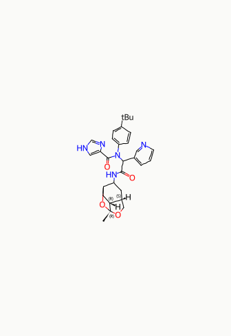 CC(C)(C)c1ccc(N(C(=O)c2c[nH]cn2)C(C(=O)NC2C[C@@H]3CO[C@]4(C)OC2C[C@H]34)c2cccnc2)cc1